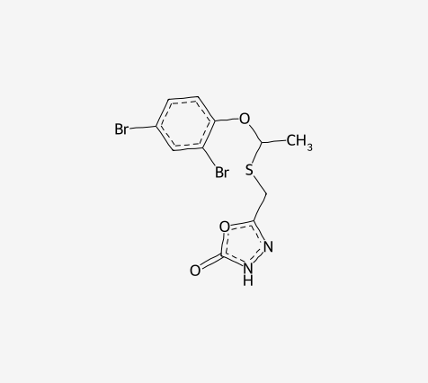 CC(Oc1ccc(Br)cc1Br)SCc1n[nH]c(=O)o1